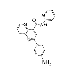 Nc1ccc(-c2cc(C(=O)Nc3ccccn3)c3ncccc3n2)cc1